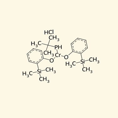 CC(C)(C)[PH][Cr]([O]c1ccccc1[Si](C)(C)C)[O]c1ccccc1[Si](C)(C)C.Cl